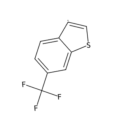 FC(F)(F)c1ccc2[c]csc2c1